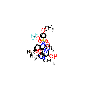 CNC(=O)[C@@H]1C[C@@H](O)C[N+]1(C)C1(c2cc(C)ccc2OC)C(=O)N(S(=O)(=O)c2ccc(OC)cc2OC(F)(F)F)c2ccc(Br)cc21